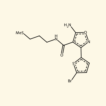 CSCCCNC(=O)c1c(-c2ccc(Br)s2)noc1N